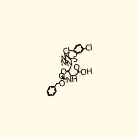 O=C(O)CC(NC(=O)OCc1ccccc1)C(=O)Cn1nnnc1Sc1cc(Cl)ccc1Cl